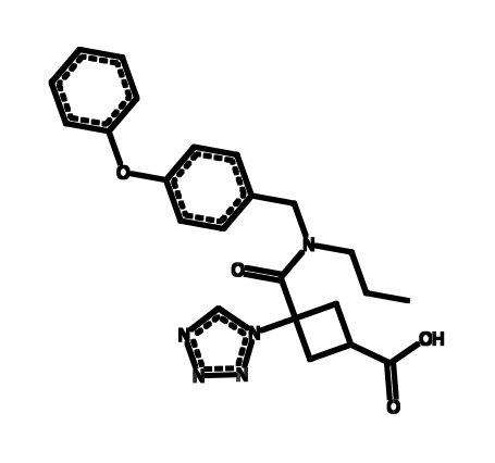 CCCN(Cc1ccc(Oc2ccccc2)cc1)C(=O)C1(n2cnnn2)CC(C(=O)O)C1